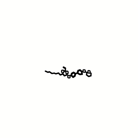 C=CC(=O)OC(CCCCCCCCCC)Oc1ccc(-c2ccc(OC3CCCCO3)cc2)cc1